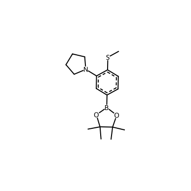 CSc1ccc(B2OC(C)(C)C(C)(C)O2)cc1N1CCCC1